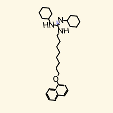 c1ccc2c(OCCCCCCCCN/C(=N\C3CCCCC3)NC3CCCCC3)cccc2c1